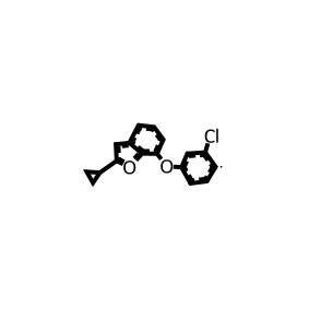 Clc1[c]ccc(Oc2cccc3cc(C4CC4)oc23)c1